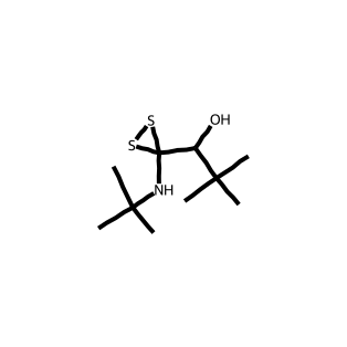 CC(C)(C)NC1(C(O)C(C)(C)C)SS1